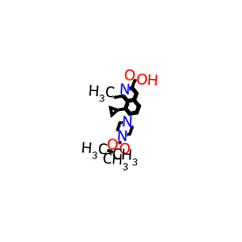 CCc1nc(C(=O)O)cc2ccc(N3CCN(C(=O)OC(C)(C)C)CC3)c(C3CC3)c12